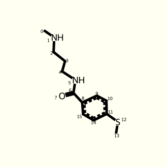 CNCCCNC(=O)c1ccc(SC)cc1